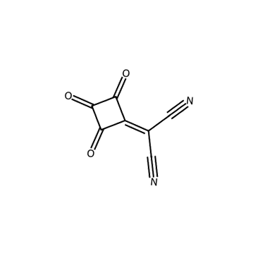 N#CC(C#N)=C1C(=O)C(=O)C1=O